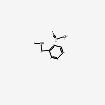 CNCc1ccccc1.O=NO